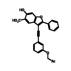 CC(=O)COc1cccc(C#Cc2c(-c3ccccc3)oc3cc(O)c(C(=O)O)cc23)c1